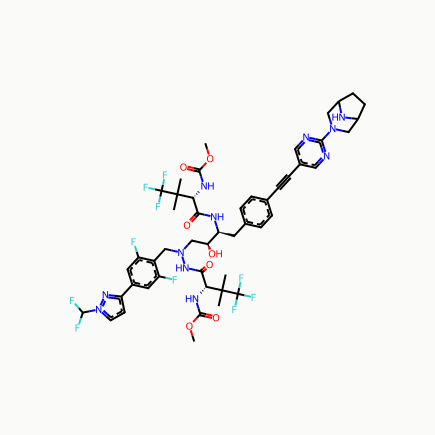 COC(=O)N[C@H](C(=O)N[C@@H](Cc1ccc(C#Cc2cnc(N3CC4CCC(C3)N4)nc2)cc1)[C@@H](O)CN(Cc1c(F)cc(-c2ccn(C(F)F)n2)cc1F)NC(=O)[C@@H](NC(=O)OC)C(C)(C)C(F)(F)F)C(C)(C)C(F)(F)F